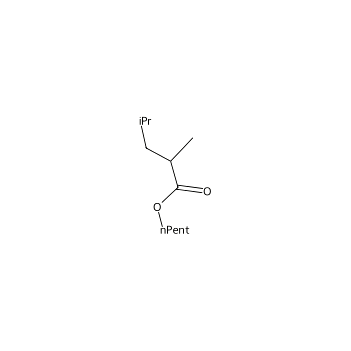 CCCCCOC(=O)C(C)CC(C)C